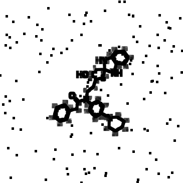 O=C(O)CC1(SCCCN(C(=O)Cc2ccccc2)c2ccc(N3CCCCC3)cc2)Nc2ccccc2N1